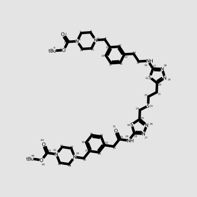 CC(C)(C)OC(=O)N1CCN(Cc2cccc(CCNc3nnc(CCSCc4nnc(NC(=O)Cc5cccc(CN6CCN(C(=O)OC(C)(C)C)CC6)c5)s4)s3)c2)CC1